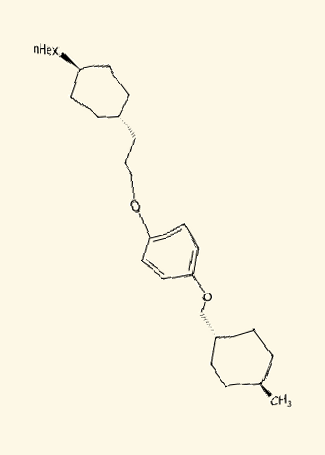 CCCCCC[C@H]1CC[C@H](CCCOc2ccc(OC[C@H]3CC[C@H](C)CC3)cc2)CC1